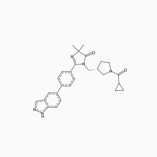 CC1(C)N=C(c2ccc(-c3ccc4[nH]ncc4c3)cc2)N(C[C@@H]2CCN(C(=O)C3CC3)C2)C1=O